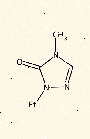 CCn1ncn(C)c1=O